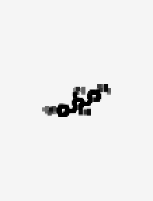 Cc1ccc(Cc2cc(CO)cc(Cc3ccc(C)cc3)c2O)cc1